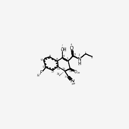 CCNC(=O)C1=C(O)c2ccc(F)cc2[C@](C)(C#N)C1=O